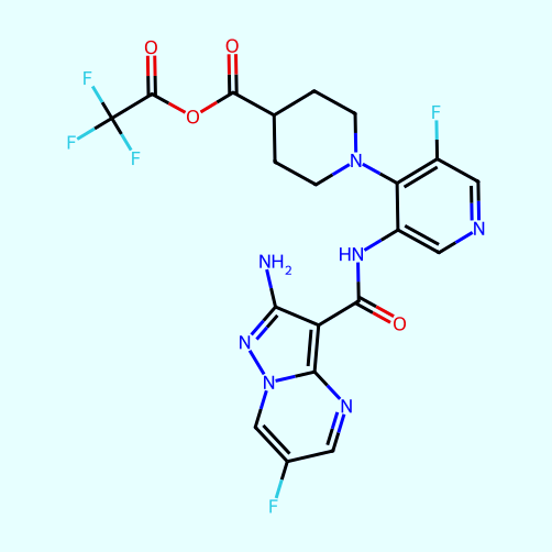 Nc1nn2cc(F)cnc2c1C(=O)Nc1cncc(F)c1N1CCC(C(=O)OC(=O)C(F)(F)F)CC1